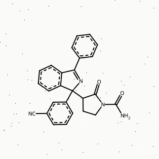 N#Cc1cccc(C2([C]3CCN(C(N)=O)C3=O)N=C(c3ccccc3)c3ccccc32)c1